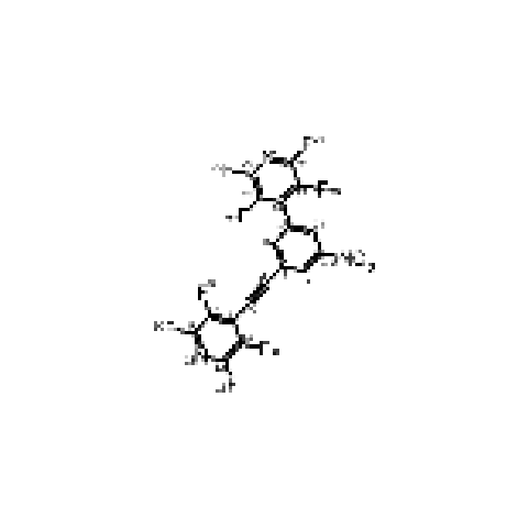 O=[N+]([O-])c1cc(C#Cc2c(F)c(F)nc(F)c2F)cc(-c2c(F)c(F)nc(F)c2F)c1